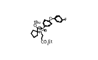 CCOC(=O)CCN(C1(C(=O)OC(C)(C)C)CCCC1)S(=O)(=O)c1ccc(Oc2ccc(F)cc2)cc1